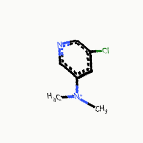 C[N+](C)c1cncc(Cl)c1